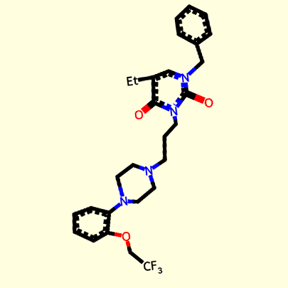 CCc1cn(Cc2ccccc2)c(=O)n(CCCN2CCN(c3ccccc3OCC(F)(F)F)CC2)c1=O